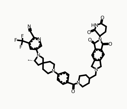 C[C@H]1CC2(CCN(c3ccc(C(=O)N4CCC(CN5Cc6cc7c(cc6C5)C(=O)N(C5CCC(=O)NC5=O)C7=O)CC4)cc3)CC2)CN1c1cnc(C#N)c(C(F)(F)F)c1